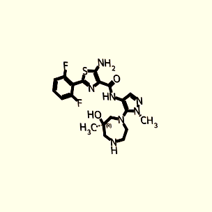 Cn1ncc(NC(=O)c2nc(-c3c(F)cccc3F)sc2N)c1N1CCNC[C@@](C)(O)C1